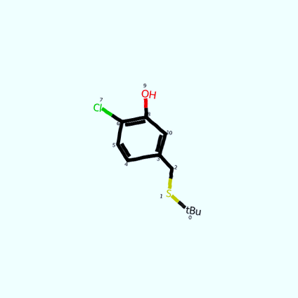 CC(C)(C)SCc1ccc(Cl)c(O)c1